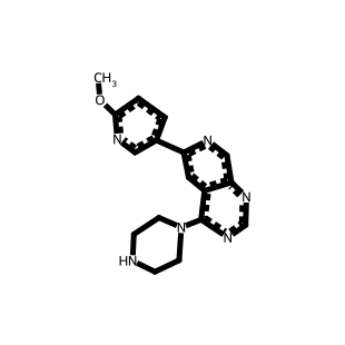 COc1ccc(-c2cc3c(N4CCNCC4)ncnc3cn2)cn1